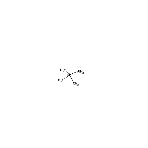 C[Si](C)(C)[AlH2]